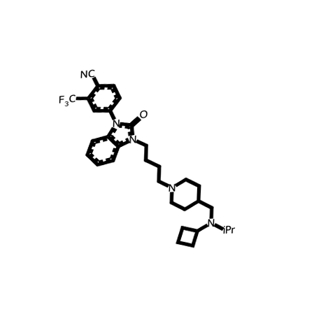 CC(C)N(CC1CCN(CCCCn2c(=O)n(-c3ccc(C#N)c(C(F)(F)F)c3)c3ccccc32)CC1)C1CCC1